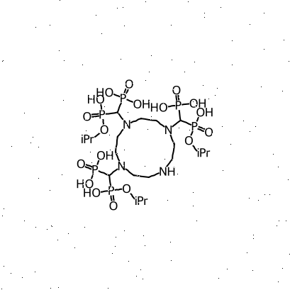 CC(C)OP(=O)(O)C(N1CCNCCN(C(P(=O)(O)O)P(=O)(O)OC(C)C)CCN(C(P(=O)(O)O)P(=O)(O)OC(C)C)CC1)P(=O)(O)O